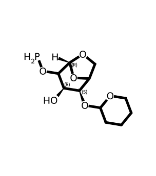 O[C@H]1C(OP)[C@@H]2OCC(O2)[C@H]1OC1CCCCO1